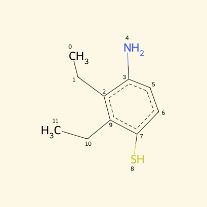 CCc1c(N)ccc(S)c1CC